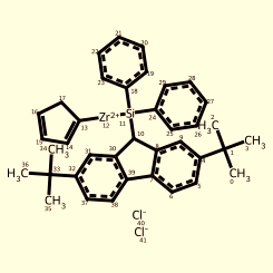 CC(C)(C)c1ccc2c(c1)C([Si]([Zr+2][C]1=CC=CC1)(c1ccccc1)c1ccccc1)c1cc(C(C)(C)C)ccc1-2.[Cl-].[Cl-]